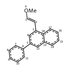 COC=Cc1cc(-c2ccccc2)cc2ccccc12